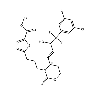 CC(C)OC(=O)c1ccc(CCCN2C(=O)OCC[C@@H]2C=CC(O)C(F)(F)c2cc(Cl)cc(Cl)c2)s1